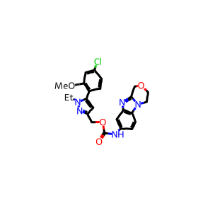 CCn1nc(COC(=O)Nc2ccc3c(c2)nc2n3CCOC2)cc1-c1ccc(Cl)cc1OC